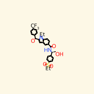 CCn1c(C(=O)c2ccc(C(F)(F)F)cc2)cc2cc(C(=O)N[C@@H](CO)c3ccc(S(=O)(=O)CC)cc3)ccc21